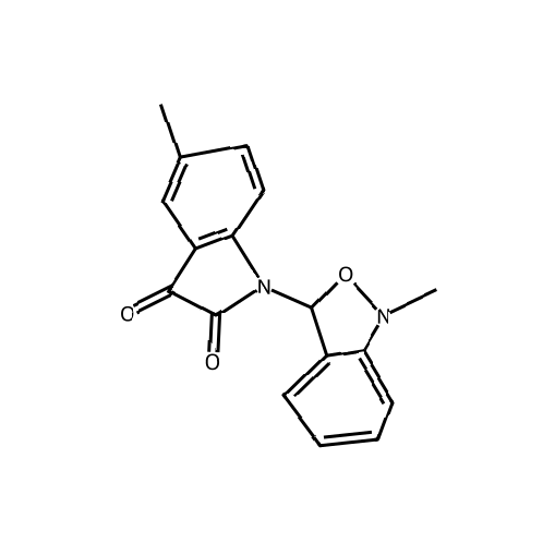 Cc1ccc2c(c1)C(=O)C(=O)N2C1ON(C)c2ccccc21